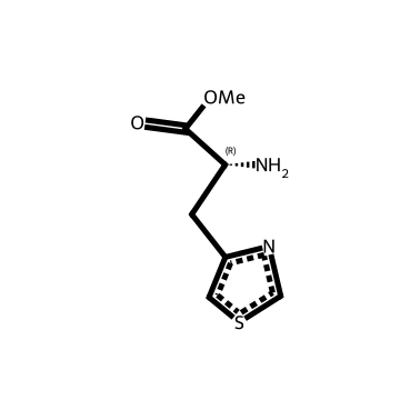 COC(=O)[C@H](N)Cc1cscn1